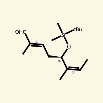 C/C=C(/C)[C@@H](C/C=C(\C)C=O)O[Si](C)(C)C(C)(C)C